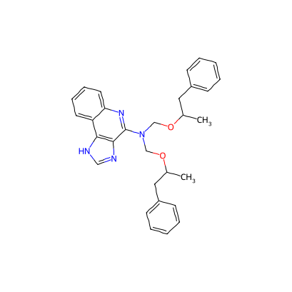 CC(Cc1ccccc1)OCN(COC(C)Cc1ccccc1)c1nc2ccccc2c2[nH]cnc12